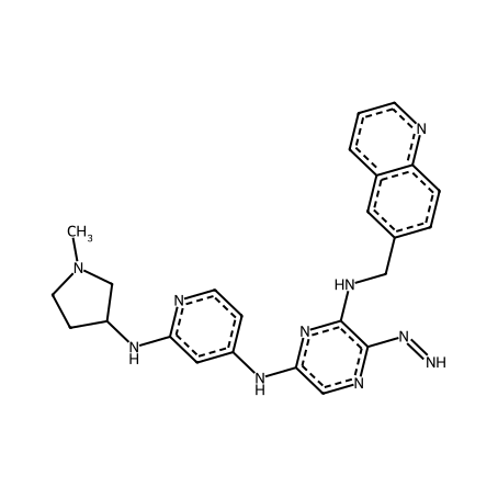 CN1CCC(Nc2cc(Nc3cnc(N=N)c(NCc4ccc5ncccc5c4)n3)ccn2)C1